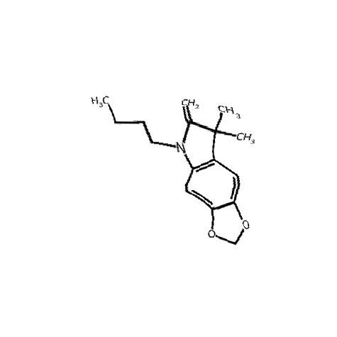 C=C1N(CCCC)c2cc3c(cc2C1(C)C)OCO3